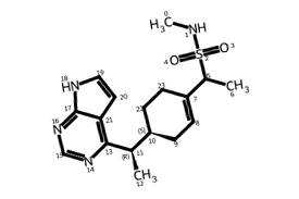 CNS(=O)(=O)C(C)C1=CC[C@@H]([C@@H](C)c2ncnc3[nH]ccc23)CC1